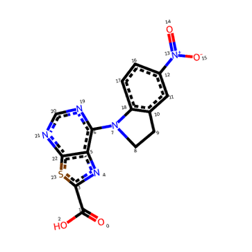 O=C(O)c1nc2c(N3CCc4cc([N+](=O)[O-])ccc43)ncnc2s1